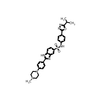 CC(C)c1nnc(-c2ccc(NS(=O)(=O)c3ccc4[nH]c(-c5ccc(N6CCN(C)CC6)cc5)nc4c3)cc2)o1